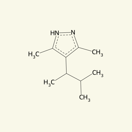 Cc1n[nH]c(C)c1C(C)C(C)C